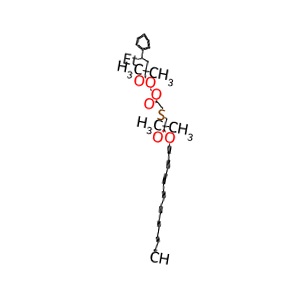 C#CC#CC#CC#CC#CC#CC#CC#COC(=O)C(C)(C)CSCC(=O)OCOC(=O)C(C)(C)CC(CC)c1ccccc1